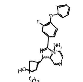 CC1(O)CC(C2=C3C=NC=C[N+]3(N)C(c3ccc(Oc4ccccc4)c(F)c3)=N2)C1